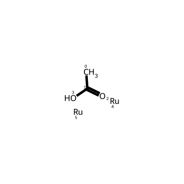 CC(=O)O.[Ru].[Ru]